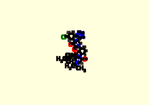 CC(C)N1CCN(c2cccc(N3CCN(c4cc(Cl)ccc4-n4cnnn4)C(=O)C3=O)c2OC(=O)CCC(C)(C)C)C(=O)C1